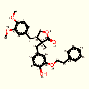 COc1ccc(C[C@H]2COC(=O)[C@]2(C)Cc2ccc(O)c(OCCc3ccccc3)c2)cc1OC